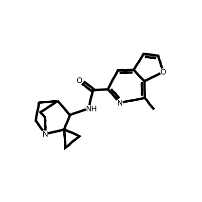 Cc1nc(C(=O)NC2C3CCN(CC3)C23CC3)cc2ccoc12